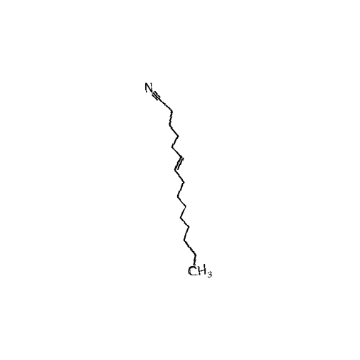 CCCCCCCC/C=C/CCCCC#N